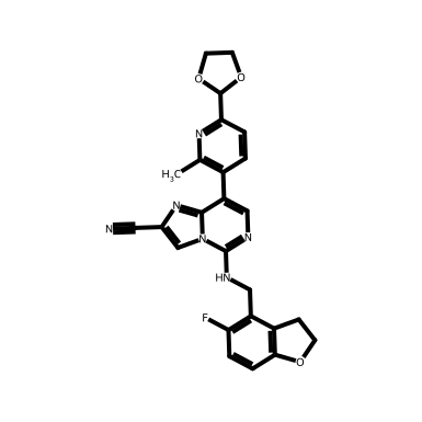 Cc1nc(C2OCCO2)ccc1-c1cnc(NCc2c(F)ccc3c2CCO3)n2cc(C#N)nc12